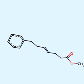 COC(=O)CC/C=C/CCc1ccccc1